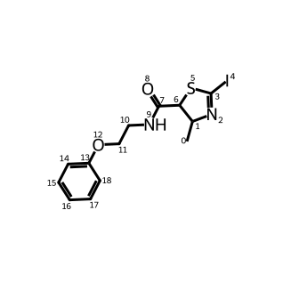 CC1N=C(I)SC1C(=O)NCCOc1ccccc1